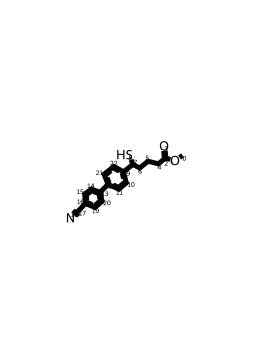 COC(=O)CCCC(S)c1ccc(-c2ccc(C#N)cc2)cc1